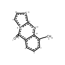 Cc1cccc2c(=O)n3ccsc3nc12